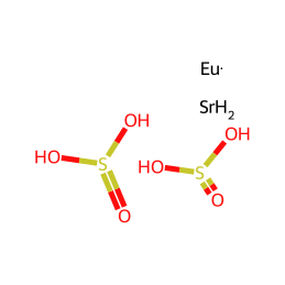 O=S(O)O.O=S(O)O.[Eu].[SrH2]